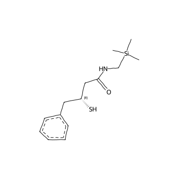 C[Si](C)(C)CNC(=O)C[C@H](S)Cc1ccccc1